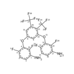 Nc1ccc(F)c(Oc2cc(Oc3c(F)ccc(N)c3F)c(C(F)(F)F)c(C(F)(F)F)c2)c1F